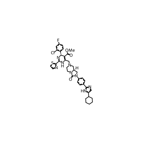 COC(=O)C1=C(CN2CCN3C(=O)N(c4ccc(-c5ncc(C6CCCCC6)[nH]5)cc4)C[C@@H]3C2)NC(c2nccs2)=N[C@H]1c1ccc(F)cc1Cl